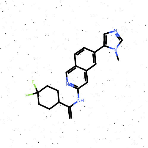 C=C(Nc1cc2cc(-c3cncn3C)ccc2cn1)C1CCC(F)(F)CC1